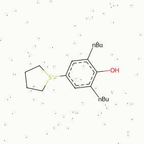 CCCCc1cc([S+]2CCCC2)cc(CCCC)c1O